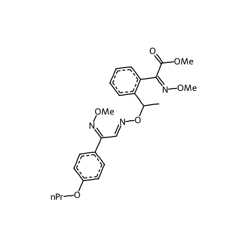 CCCOc1ccc(C(C=NOC(C)c2ccccc2C(=NOC)C(=O)OC)=NOC)cc1